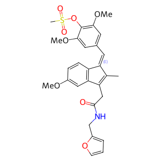 COc1ccc2c(c1)C(CC(=O)NCc1ccco1)=C(C)/C2=C/c1cc(OC)c(OS(C)(=O)=O)c(OC)c1